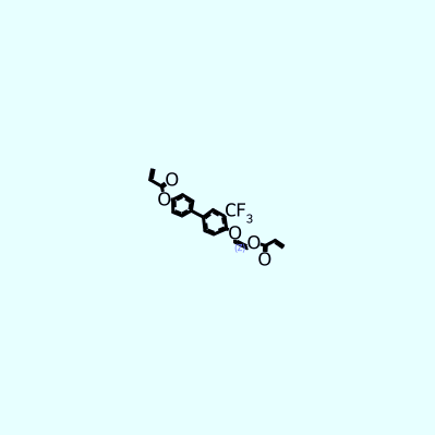 C=CC(=O)O/C=C\Oc1ccc(-c2ccc(OC(=O)C=C)cc2)cc1C(F)(F)F